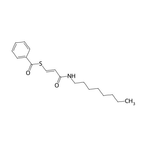 CCCCCCCCNC(=O)C=CSC(=O)c1ccccc1